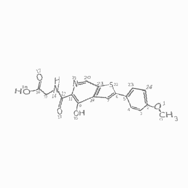 COc1ccc(-c2cc3c(O)c(C(=O)NCC(=O)O)ncc3s2)cc1